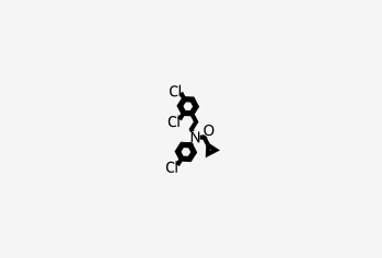 O=C(C1CC1)N(CCc1ccc(Cl)cc1Cl)c1ccc(Cl)cc1